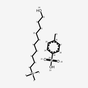 C[N+](C)(C)CCCCCCCCCCO.Cc1ccc(S(=O)(=O)O)cc1